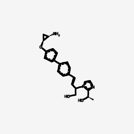 C[C@H](O)c1nccn1C(/C=C/c1ccc(-c2ccc(O[C@H]3C[C@@H]3N)cc2)cc1)CO